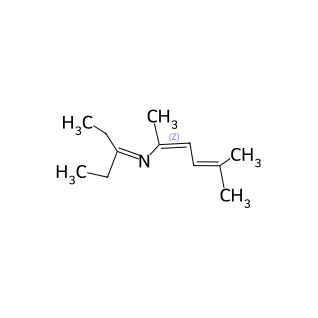 CCC(CC)=N/C(C)=C\C=C(C)C